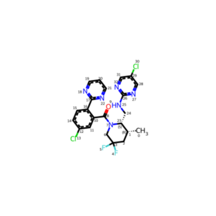 C[C@@H]1CC(F)(F)CN(C(=O)c2cc(Cl)ccc2-c2ncccn2)[C@@H]1CNc1ncc(Cl)cn1